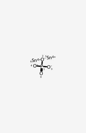 O=P([O-])([O-])[O-].[Sn+4].[Sn+4]